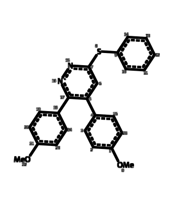 COc1ccc(-c2cc(Sc3ccccc3)nnc2-c2ccc(OC)cc2)cc1